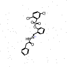 O=C(Cc1ccccc1)N/N=C/c1ccccc1OS(=O)(=O)c1cc(Cl)ccc1Cl